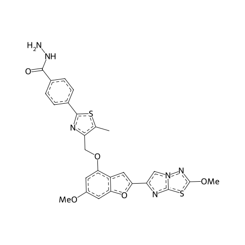 COc1cc(OCc2nc(-c3ccc(C(=O)NN)cc3)sc2C)c2cc(-c3cn4nc(OC)sc4n3)oc2c1